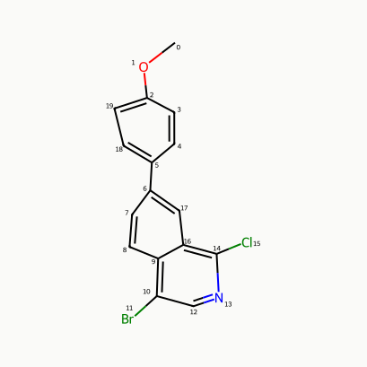 COc1ccc(-c2ccc3c(Br)cnc(Cl)c3c2)cc1